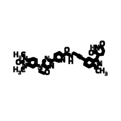 Cn1nc(C2CCC(=O)NC2=O)c2cc(C#CCNC(=O)c3ccc(-c4ncc5c(n4)OCCN5c4ccc5c(c4)n(C)c(=O)n5C)cn3)ccc21